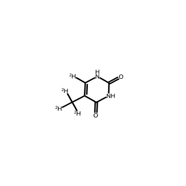 [2H]c1[nH]c(=O)[nH]c(=O)c1C([2H])([2H])[2H]